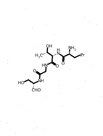 CC(C)C[C@H](N)C(=O)N[C@H](C(=O)NCC(=O)N[C@H]([C]=O)CO)[C@H](C)O